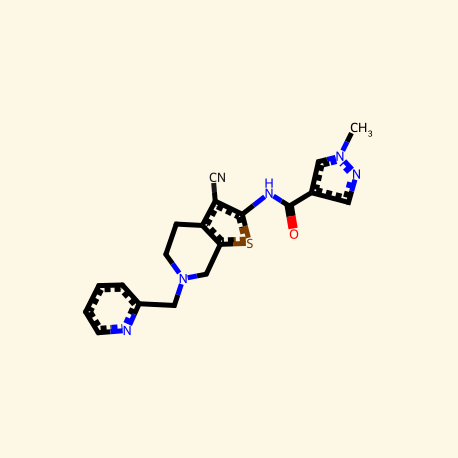 Cn1cc(C(=O)Nc2sc3c(c2C#N)CCN(Cc2ccccn2)C3)cn1